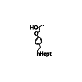 [CH2]C(O)COc1ccc(CCCCCCCCC)cc1